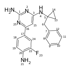 Nc1nc(NC2(Cc3ccccc3)CC2)cc(-c2ccc(N)c(F)c2)n1